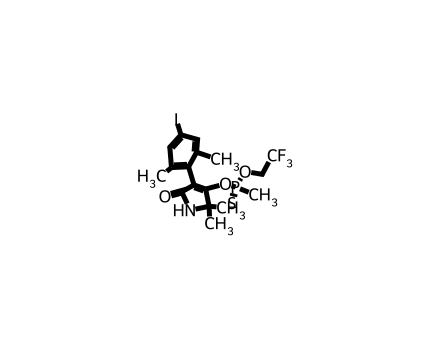 Cc1cc(I)cc(C)c1C1=C(OP(C)(=S)OCC(F)(F)F)C(C)(C)NC1=O